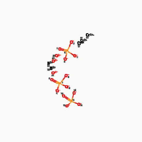 O=P([O-])([O-])[O-].O=P([O-])([O-])[O-].O=P([O-])([O-])[O-].[B+3].[B+3].[Cr+3].[Cr+3].[Cr+3].[O-2].[O-2].[O-2]